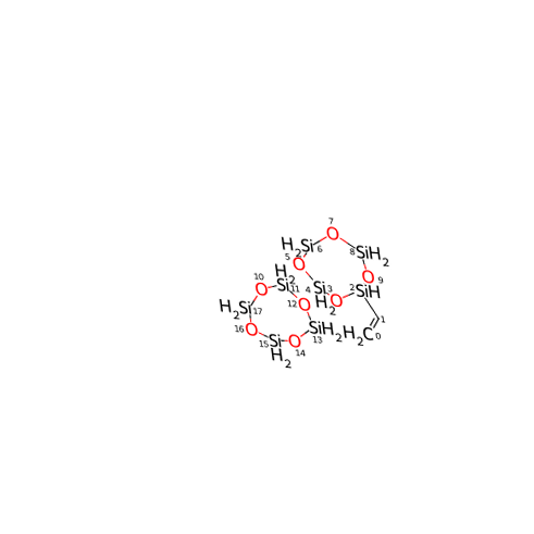 C=C[SiH]1O[SiH2]O[SiH2]O[SiH2]O1.O1[SiH2]O[SiH2]O[SiH2]O[SiH2]1